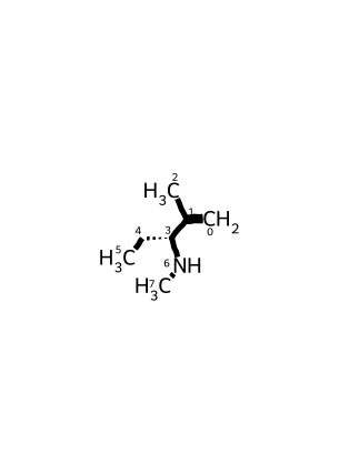 C=C(C)[C@@H](CC)NC